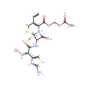 C=CC1=C(C(=O)OCOC(=O)C(C)(C)C)N2C(=O)C(NC(=O)/C(=N\O)c3csc(N)n3)[C@H]2SC1